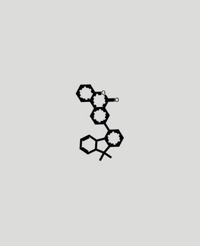 CC1(C)c2cccc(-c3ccc4c(c3)c(=O)oc3ccccc34)c2C2C=CC=CC21